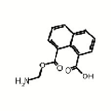 NCOC(=O)c1cccc2cccc(C(=O)O)c12